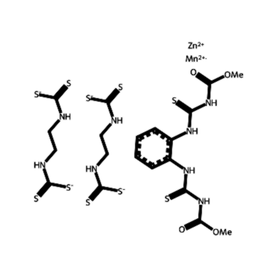 COC(=O)NC(=S)Nc1ccccc1NC(=S)NC(=O)OC.S=C([S-])NCCNC(=S)[S-].S=C([S-])NCCNC(=S)[S-].[Mn+2].[Zn+2]